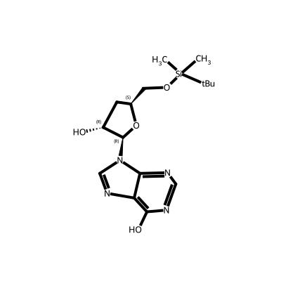 CC(C)(C)[Si](C)(C)OC[C@@H]1C[C@@H](O)[C@H](n2cnc3c(O)ncnc32)O1